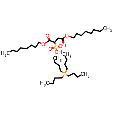 CCCCCCCCOC(=O)CC(C(=O)OCCCCCCCC)S(=O)(=O)O.CCCC[P](CCCC)(CCCC)CCCC